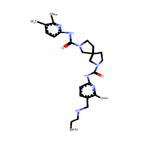 COc1nc(NC(=O)N2CCC3(CCN(C(=O)Nc4ccc(CNCCNC(C)=O)c(OC)n4)C3)C2)ccc1C